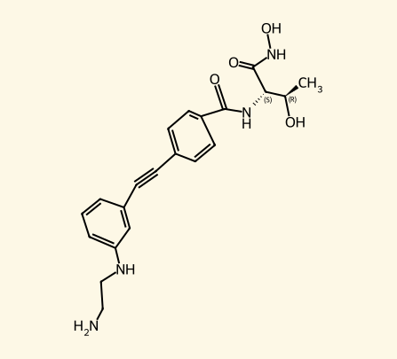 C[C@@H](O)[C@H](NC(=O)c1ccc(C#Cc2cccc(NCCN)c2)cc1)C(=O)NO